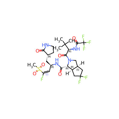 CC(C)(C)[C@@H](NC(=O)C(F)(F)F)C(=O)N1C[C@H]2CC(F)(F)C[C@H]2[C@@H]1C(=O)N[C@@H](/C=C(/F)S(C)(=O)=O)C[C@H]1CCNC1=O